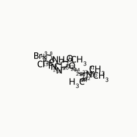 COc1cc2c(Nc3ccc(Br)c(Cl)c3F)ncnc2cc1OCCC[C@H]1CN(C(C)C)C[C@H]1C